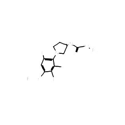 CCOC(=O)c1cc(F)c(N2CC[C@H](NC(=O)OC(C)(C)C)C2)c(F)c1F